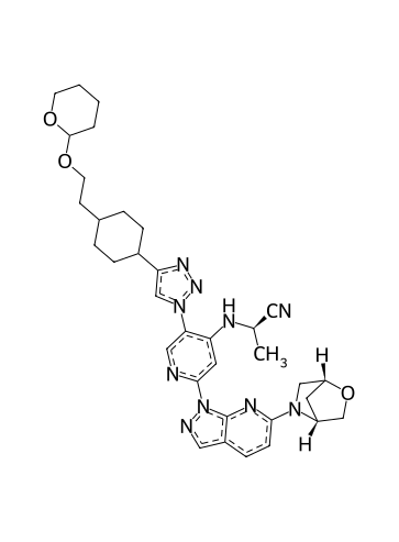 C[C@H](C#N)Nc1cc(-n2ncc3ccc(N4C[C@H]5C[C@@H]4CO5)nc32)ncc1-n1cc(C2CCC(CCOC3CCCCO3)CC2)nn1